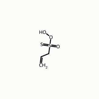 C=CCS(=O)(=S)OO